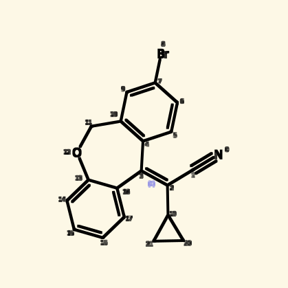 N#C/C(=C1\c2ccc(Br)cc2COc2ccccc21)C1CC1